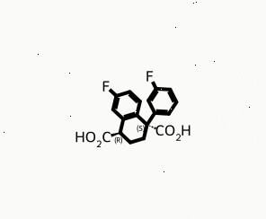 O=C(O)[C@@H]1CC[C@](C(=O)O)(c2cccc(F)c2)c2ccc(F)cc21